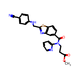 COC(=O)CCN(C(=O)c1ccc2sc(CNc3ccc(C#N)cc3)nc2c1)c1ccccn1